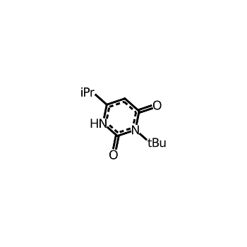 CC(C)c1cc(=O)n(C(C)(C)C)c(=O)[nH]1